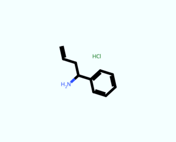 C=CCC(N)c1ccccc1.Cl